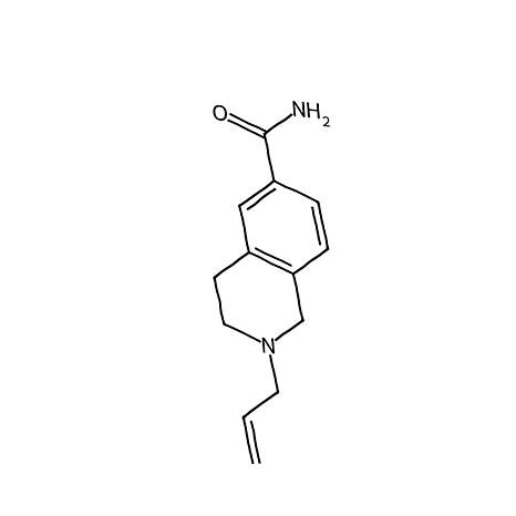 C=CCN1CCc2cc(C(N)=O)ccc2C1